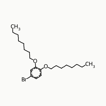 CCCCCCCCOc1ccc(Br)cc1OCCCCCCCC